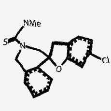 CNC(=S)N1Cc2ccccc2C2(Cc3ccc(Cl)cc3O2)C1